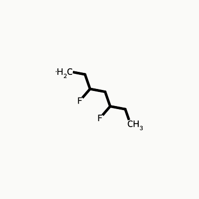 [CH2]CC(F)CC(F)CC